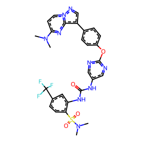 CN(C)c1ccn2ncc(-c3ccc(Oc4ncc(NC(=O)Nc5cc(C(F)(F)F)ccc5S(=O)(=O)N(C)C)cn4)cc3)c2n1